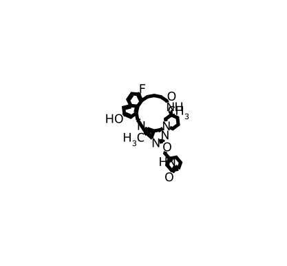 Cc1c2ncc3c(nc(OCC45CCC(CC4)C(=O)N5)nc13)N1CCC[C@](C)(C1)NC(=O)CCCc1c(F)ccc3cc(O)cc-2c13